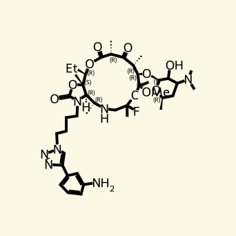 CC[C@H]1OC(=O)[C@H](C)C(=O)[C@H](C)[C@@H](O[C@@H]2O[C@H](C)CC(N(C)C)C2O)[C@](C)(OC)CC(C)(F)CN[C@H](C)[C@H]2N(CCCCn3cc(-c4cccc(N)c4)nn3)C(=O)O[C@]12C